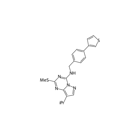 CSc1nc(NCc2ccc(-c3ccsc3)cc2)n2ncc(C(C)C)c2n1